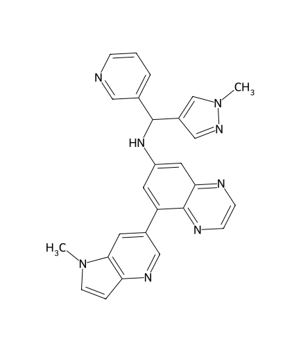 Cn1cc(C(Nc2cc(-c3cnc4ccn(C)c4c3)c3nccnc3c2)c2cccnc2)cn1